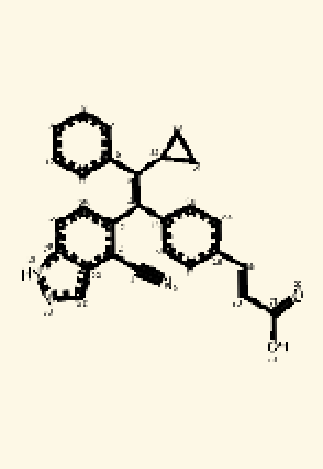 N#Cc1c(C(=C(c2ccccc2)C2CC2)c2ccc(C=CC(=O)O)cc2)ccc2[nH]ncc12